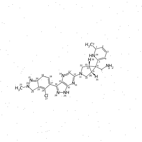 CC1C=CC=C(C2(CN)[C@@H]3CN(c4cnc5c(C6=CCC7=NN(C)CC7=C6Cl)n[nH]c5n4)C[C@@H]32)N1